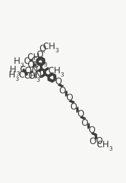 CCc1c(-c2ccc(OCCOCCOCCOCCOCCOCCOCCC(=O)OC)cc2)cnc(N(C(=O)OC(C)(C)C)C(=O)OC(C)(C)C)c1-c1ccc(OCOC)cc1